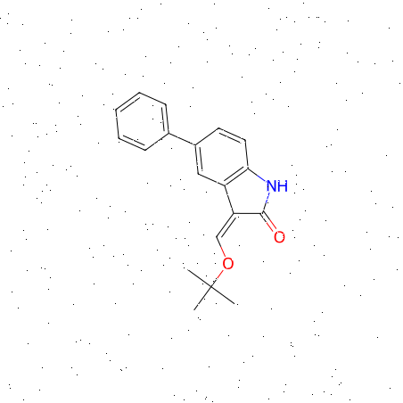 CC(C)(C)OC=C1C(=O)Nc2ccc(-c3ccccc3)cc21